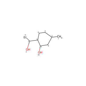 CCC(O)C1CCC(C)CC1O